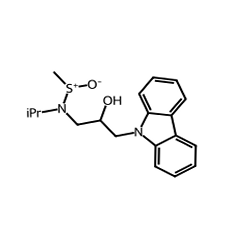 CC(C)N(CC(O)Cn1c2ccccc2c2ccccc21)[S+](C)[O-]